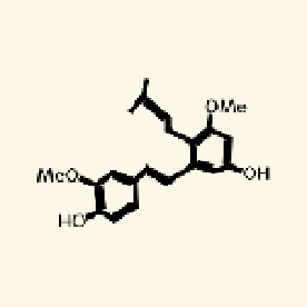 COc1cc(C=Cc2cc(O)cc(OC)c2CC=C(C)C)ccc1O